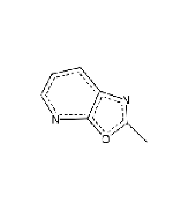 Cc1nc2cccnc2o1